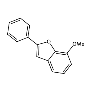 COc1cccc2cc(-c3ccccc3)oc12